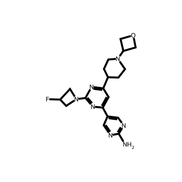 Nc1ncc(-c2cc(C3CCN(C4COC4)CC3)nc(N3CC(F)C3)n2)cn1